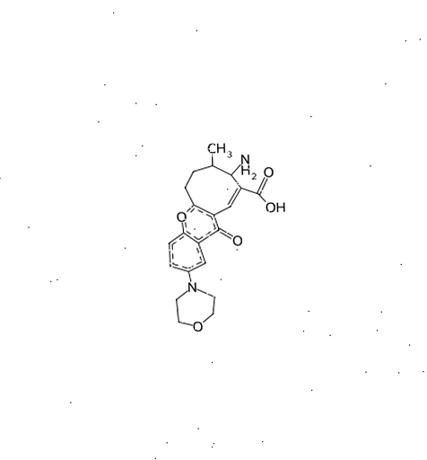 CC1CCc2oc3ccc(N4CCOCC4)cc3c(=O)c2/C=C(/C(=O)O)C1N